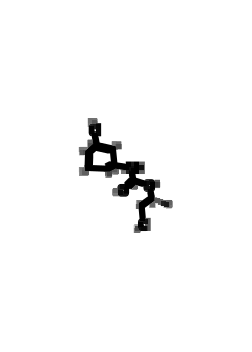 C[C@H](CCl)OC(=O)Nc1cccc(Cl)c1